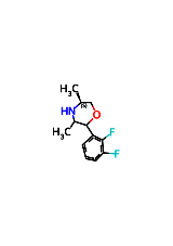 CC1N[C@@H](C)COC1c1cccc(F)c1F